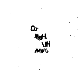 [Cu].[LiH].[MgH2].[NaH]